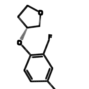 CC(C)(C)c1ccc(O[C@@H]2CCOC2)c(F)c1